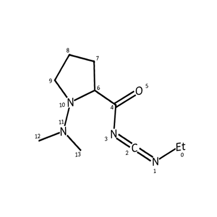 CCN=C=NC(=O)C1CCCN1N(C)C